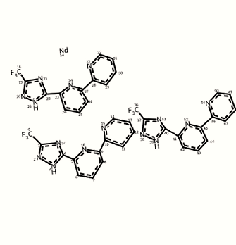 FC(F)(F)c1n[nH]c(-c2cccc(-c3ccccn3)n2)n1.FC(F)(F)c1n[nH]c(-c2cccc(-c3ccccn3)n2)n1.FC(F)(F)c1n[nH]c(-c2cccc(-c3ccccn3)n2)n1.[Nd]